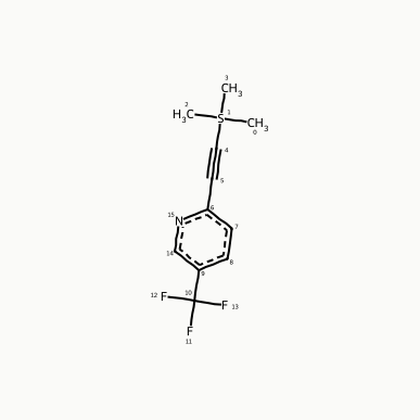 CS(C)(C)C#Cc1ccc(C(F)(F)F)cn1